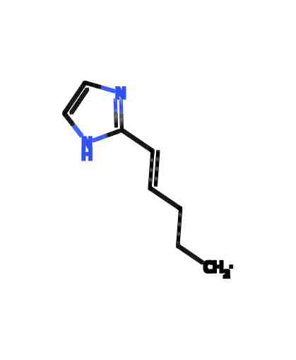 [CH2]CCC=Cc1ncc[nH]1